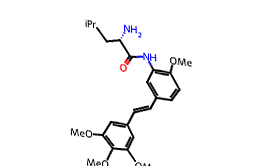 COc1ccc(C=Cc2cc(OC)c(OC)c(OC)c2)cc1NC(=O)[C@@H](N)CC(C)C